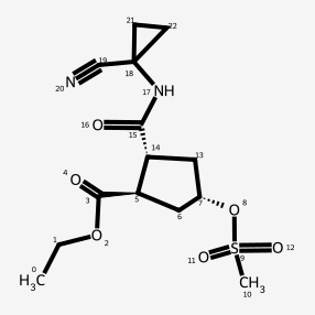 CCOC(=O)[C@@H]1C[C@@H](OS(C)(=O)=O)C[C@H]1C(=O)NC1(C#N)CC1